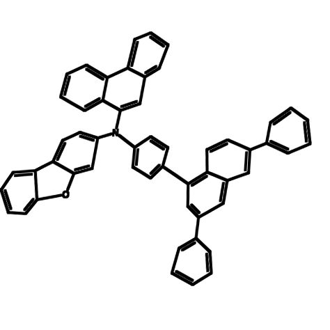 c1ccc(-c2ccc3c(-c4ccc(N(c5ccc6c(c5)oc5ccccc56)c5cc6ccccc6c6ccccc56)cc4)cc(-c4ccccc4)cc3c2)cc1